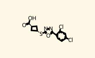 O=C(O)[C@H]1C[C@H](Sc2nnc(-c3ccc(Cl)cc3Cl)o2)C1